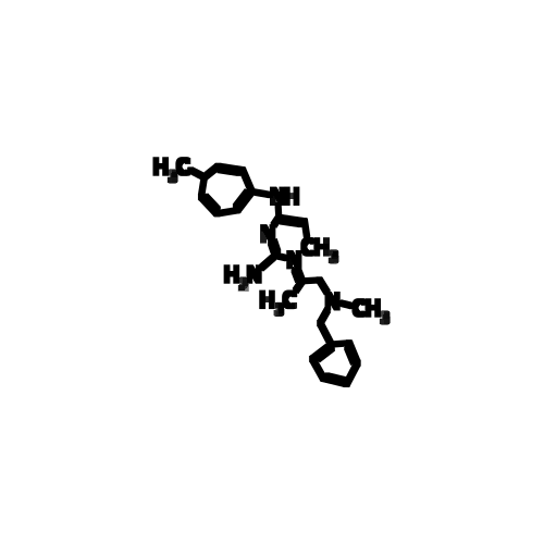 C\C=C(/N=C(N)\N=C(/C)CN(C)Cc1ccccc1)NC1=CC=CC(C)C=C1